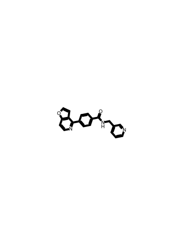 O=C(NCc1cccnc1)c1ccc(-c2nccc3occc23)cc1